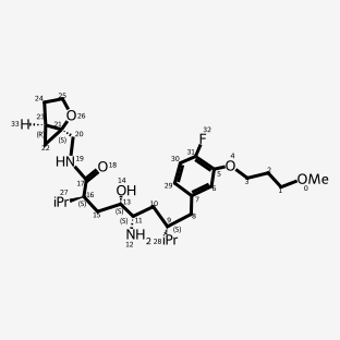 COCCCOc1cc(C[C@@H](C[C@H](N)[C@@H](O)C[C@H](C(=O)NC[C@]23C[C@H]2CCO3)C(C)C)C(C)C)ccc1F